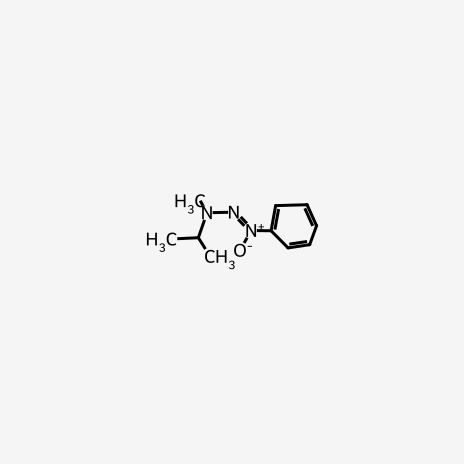 CC(C)N(C)N=[N+]([O-])c1ccccc1